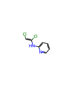 Cl/C=C(\Cl)Nc1ccccn1